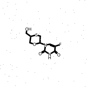 O=c1[nH]c(=O)n(C2CSC(CO)CO2)cc1F